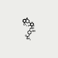 NC(=O)CN1CC[C@@H](CNc2ncnc(N(Cc3ccccc3C(F)(F)F)CC3CC3)c2F)[C@H](O)C1